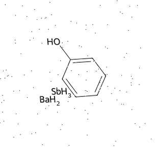 Oc1ccccc1.[BaH2].[SbH3]